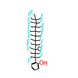 Oc1ccccc1C(CF)(CF)C(CF)(CF)C(CF)(CF)C(CF)(CF)C(CF)(CF)C(CF)(CF)C(CF)(CF)C(CF)(CF)C(CF)(CF)C(CF)(CF)CF